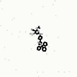 CC(C)Oc1nc(Nc2ccc(-c3cn(C(c4ccccc4)(c4ccccc4)c4ccccc4)cn3)cc2)cc(N)c1C#N